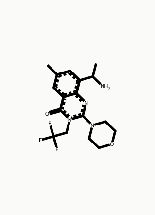 Cc1cc(C(C)N)c2nc(N3CCOCC3)n(CC(F)(F)F)c(=O)c2c1